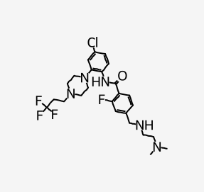 CN(C)CCNCc1ccc(C(=O)Nc2ccc(Cl)cc2N2CCN(CCC(F)(F)F)CC2)c(F)c1